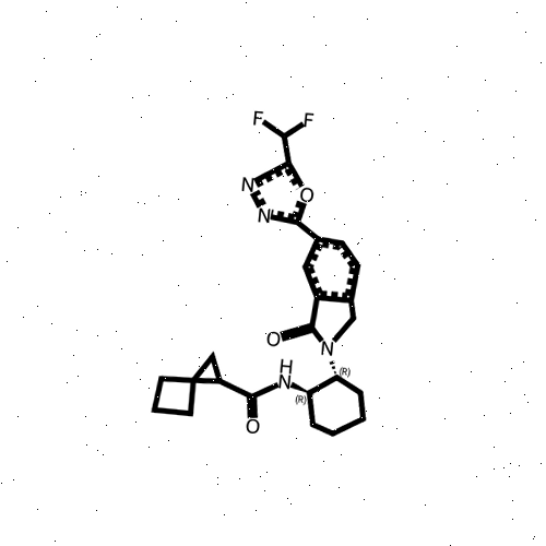 O=C(N[C@@H]1CCCC[C@H]1N1Cc2ccc(-c3nnc(C(F)F)o3)cc2C1=O)C1CC12CCC2